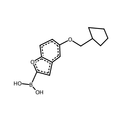 OB(O)c1cc2cc(OCC3CCCC3)ccc2o1